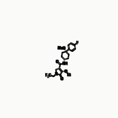 CCOC1=C(C(=O)N[C@H]2CC[C@](OC)(c3ccc(F)cc3)CC2)CN(CC(F)(F)F)C1=O